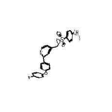 Cc1ccc(S(=O)(=O)OCc2ccnc(-c3ccc(Oc4ccc(F)cc4)cc3)c2)cc1